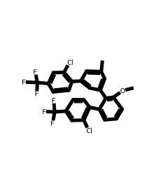 COc1c[c]cc(-c2ccc(C(F)(F)F)cc2Cl)c1-c1cc(C)cc(-c2ccc(C(F)(F)F)cc2Cl)c1